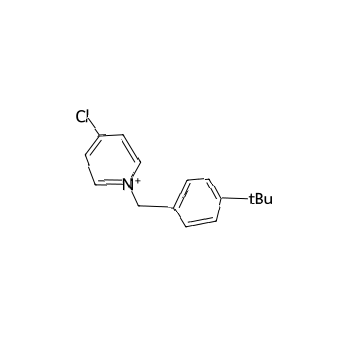 CC(C)(C)c1ccc(C[n+]2ccc(Cl)cc2)cc1